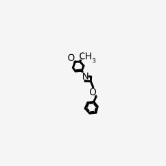 CC1CC(N2CC(COCc3ccccc3)C2)=CCC1=O